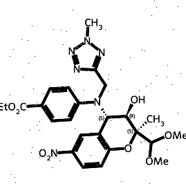 CCOC(=O)c1ccc(N(Cc2nnn(C)n2)[C@H]2c3cc([N+](=O)[O-])ccc3O[C@](C)(C(OC)OC)[C@@H]2O)cc1